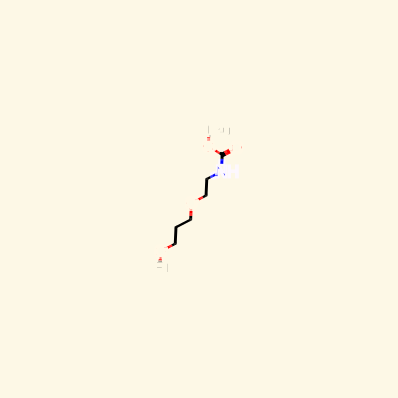 CCOCCCOCCNC(=O)OC(C)(C)C